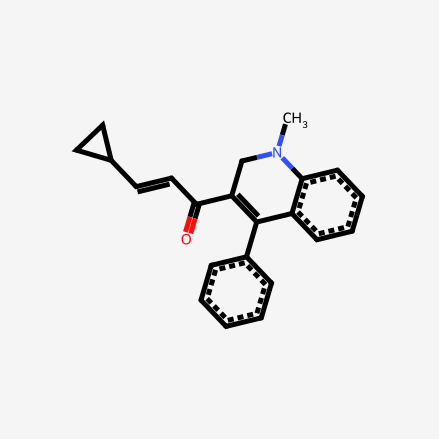 CN1CC(C(=O)/C=C/C2CC2)=C(c2ccccc2)c2ccccc21